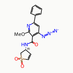 COc1nc(-c2ccccc2)cc(N=[N+]=[N-])c1C(=O)N[C@@H]1C=CS(=O)(=O)C1